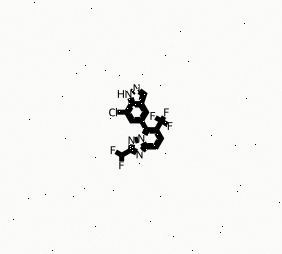 FC(F)c1nc2ccc(C(F)(F)F)c(-c3cc(Cl)c4[nH]ncc4c3)n2n1